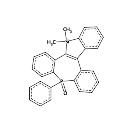 C[Si]1(C)C2=C(c3ccccc31)c1ccccc1P(=O)(c1ccccc1)c1ccccc12